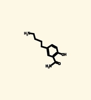 NCCCCc1ccc(O)c(C(N)=O)c1